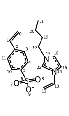 C=Cc1ccc(S(=O)(=O)[O-])cc1.C=Cn1cc[n+](CCCC)c1